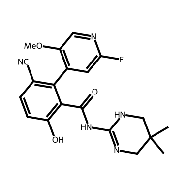 COc1cnc(F)cc1-c1c(C#N)ccc(O)c1C(=O)NC1=NCC(C)(C)CN1